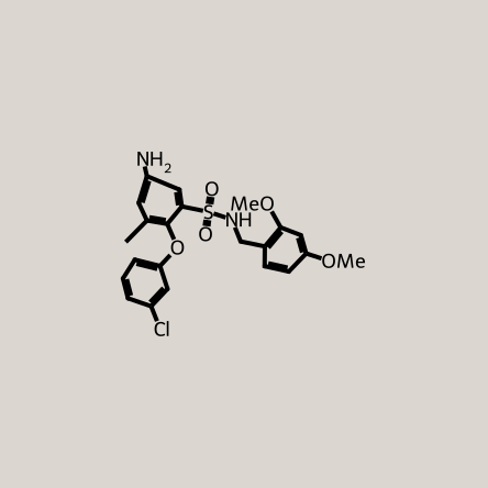 COc1ccc(CNS(=O)(=O)c2cc(N)cc(C)c2Oc2cccc(Cl)c2)c(OC)c1